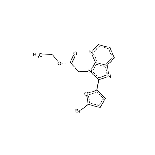 CCOC(=O)Cn1c(-c2ccc(Br)o2)nc2cccnc21